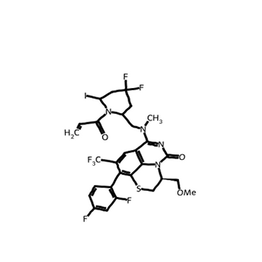 C=CC(=O)N1C(I)CC(F)(F)CC1CN(C)c1nc(=O)n2c3c(c(-c4ccc(F)cc4F)c(C(F)(F)F)cc13)SC[C@@H]2COC